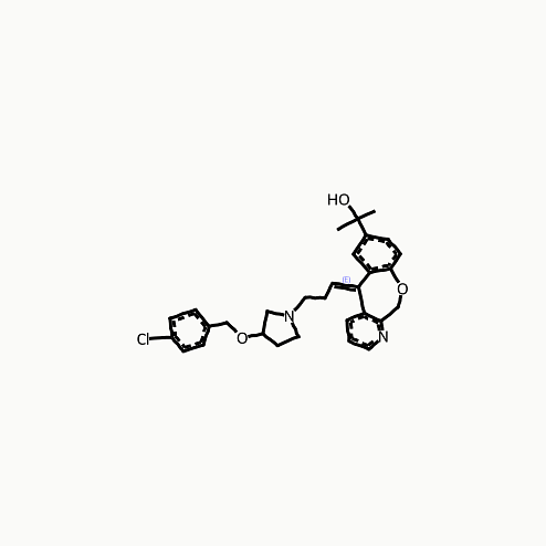 CC(C)(O)c1ccc2c(c1)/C(=C/CCN1CCC(OCc3ccc(Cl)cc3)C1)c1cccnc1CO2